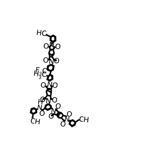 C#Cc1cccc(NC(=O)c2cc(N3C(=O)C4=C(C3=O)C3CC4C4C(=O)N(c5cccc(C#C)c5)C(=O)C34)cc(N3C(=O)C4C5CC(C6=C5C(=O)N(c5ccc(-c7ccc(N8C(=O)C9C%10CC(C%11=C%10C(=O)N(c%10cccc(C#C)c%10)C%11=O)C9C8=O)cc7C(F)(F)F)c(C)c5)C6=O)C4C3=O)c2)c1